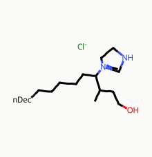 CCCCCCCCCCCCCCCC(C(C)CCO)[N+]1=CNCC1.[Cl-]